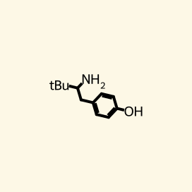 CC(C)(C)C(N)Cc1ccc(O)cc1